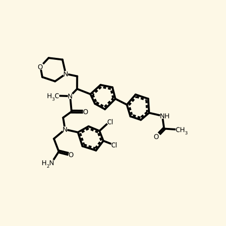 CC(=O)Nc1ccc(-c2ccc(C(CN3CCOCC3)N(C)C(=O)CN(CC(N)=O)c3ccc(Cl)c(Cl)c3)cc2)cc1